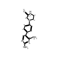 Nc1ncc(-c2ccc(N3CCNC(=O)C3)cc2)c(N)n1